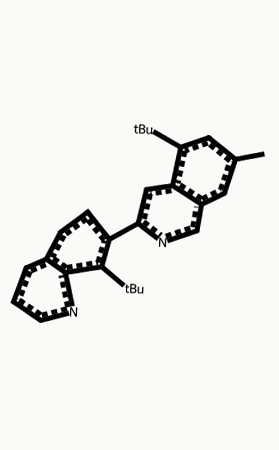 Cc1cc(C(C)(C)C)c2cc(-c3ccc4cccnc4c3C(C)(C)C)ncc2c1